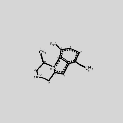 Cc1ccc(C)c2c1cc1n2C(C)CNC1